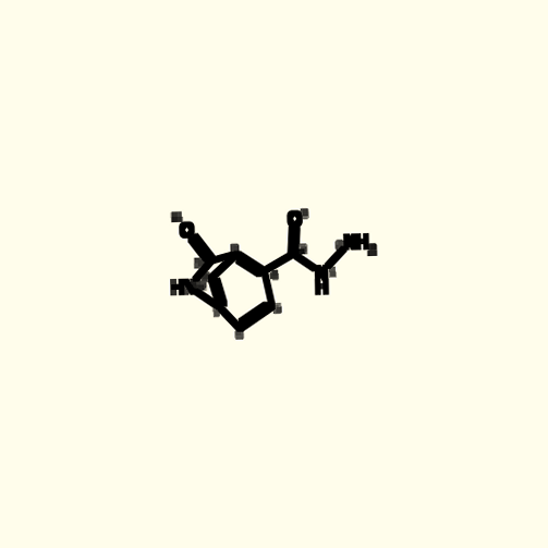 NNC(=O)c1ccc2cc1C(=O)N2